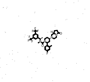 Cc1cc(F)ccc1C1C[C@@H](N2CCN3C(=O)CC[C@H]3C2)CCN1C(=O)N(C)[C@H](C)c1cc(C(F)(F)F)cc(C(F)(F)F)c1